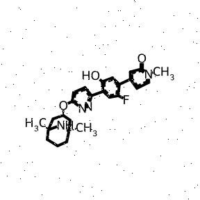 Cn1ccc(-c2cc(O)c(-c3ccc(O[C@@H]4C[C@]5(C)CCC[C@](C)(C4)N5)nn3)cc2F)cc1=O